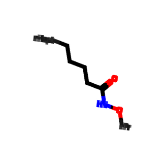 CCCCCCCCCCCC(=O)NOCCC